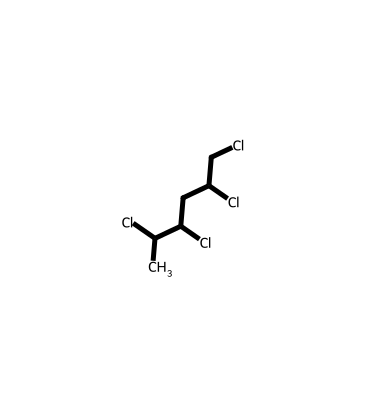 CC(Cl)C(Cl)CC(Cl)CCl